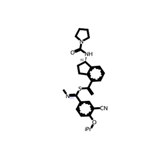 C=C(S/C(=N\C)c1ccc(OC(C)C)c(C#N)c1)c1cccc2c1CC[C@@H]2NC(=O)N1CCCC1